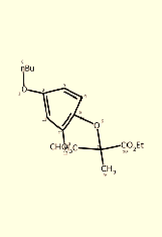 CCCCOc1ccc(OC(C)(C)C(=O)OCC)c(C=O)c1